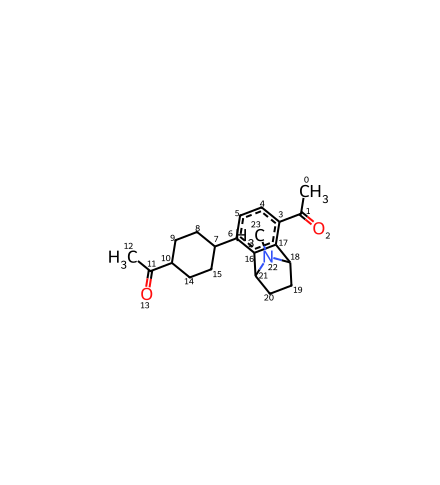 CC(=O)c1ccc(C2CCC(C(C)=O)CC2)c2c1C1CCC2N1C